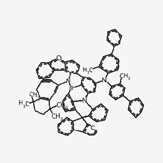 Cc1cc(-c2ccccc2)ccc1N(c1cc2c3c(c1)N1c4ccccc4C4(c5ccccc5-c5ccccc54)c4cccc(c41)B3N(C1=CC3=C(CC#C1)C(C)(C)CCC3(C)C)c1c-2ccc2oc3ccccc3c12)c1ccc(-c2ccccc2)cc1C